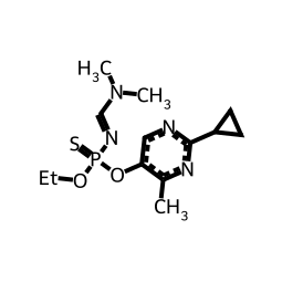 CCOP(=S)(N=CN(C)C)Oc1cnc(C2CC2)nc1C